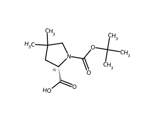 CC1(C)C[C@@H](C(=O)O)N(C(=O)OC(C)(C)C)C1